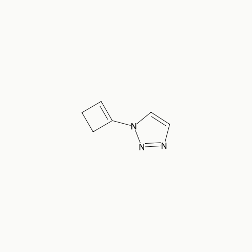 C1=C(n2ccnn2)CC1